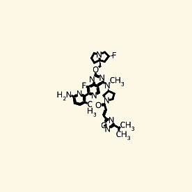 Cc1ccc(N)nc1-c1ncc2c(N(C)[C@@H]3CCN(C(=O)/C=C/c4nc(C(C)C)no4)C3)nc(OC[C@@]34CCCN3C[C@H](F)C4)nc2c1F